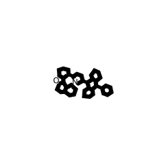 c1ccc(-c2c3ccccc3c(-c3ccc(-c4cccc5oc6ccc7ccccc7c6c45)nc3)c3ccccc23)cc1